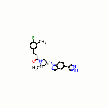 Cc1cc(CCC(=O)N2C[C@H](Cn3ncc4cc(-c5cn[nH]c5)ccc43)C[C@H]2C)ccc1F